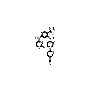 Cc1nccc(Nc2cc(N[C@@H]3CCN(c4ccc(C#N)cn4)C[C@@H]3F)c(C(N)=O)cn2)n1